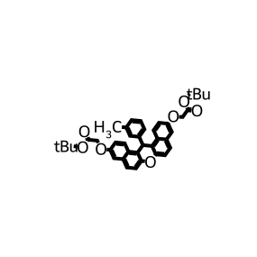 Cc1cccc(C2c3c(ccc4cc(OCC(=O)OC(C)(C)C)ccc34)Oc3ccc4cc(OCC(=O)OC(C)(C)C)ccc4c32)c1